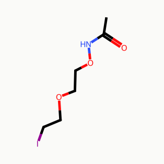 CC(=O)NOCCOCCI